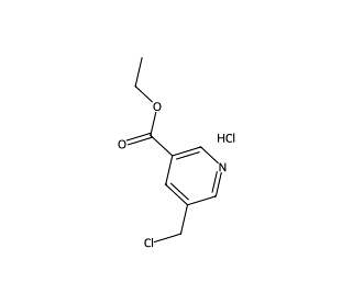 CCOC(=O)c1cncc(CCl)c1.Cl